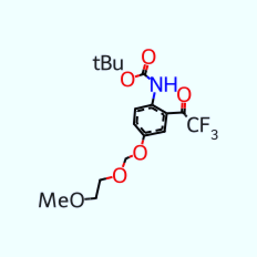 COCCOCOc1ccc(NC(=O)OC(C)(C)C)c(C(=O)C(F)(F)F)c1